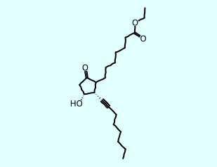 CCCCCCC#C[C@H]1C(CCCCCCC(=O)OCC)C(=O)C[C@H]1O